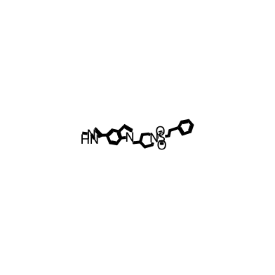 Cn1cc(-c2ccc3c(ccn3CC3CCN(S(=O)(=O)CCc4ccccc4)CC3)c2)[nH]1